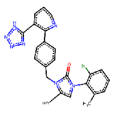 CCCc1cn(-c2c(C)cccc2Br)c(=O)n1Cc1ccc(-c2ncccc2-c2nnn[nH]2)cc1